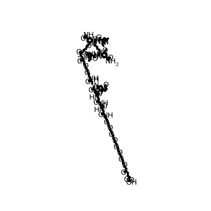 CCn1nc(C)cc1C(=O)Nc1nc2cc(C(N)=O)cc(OC)c2n1C/C=C/Cn1c(NC(=O)c2cc(C)nn2CC)nc2cc(C(N)=O)cc(OCCCOC(=O)[C@H](C)NC(=O)CCOCCOCCNC(=O)CC[C@H](NC(=O)CN3C(=O)C=CC3=O)C(=O)NCC(=O)NCC(=O)NCC(=O)NCC(=O)NCCOCCOCCOCCOCCOCCOCCOCCOCCC(=O)CCCS(=O)(=O)O)c21